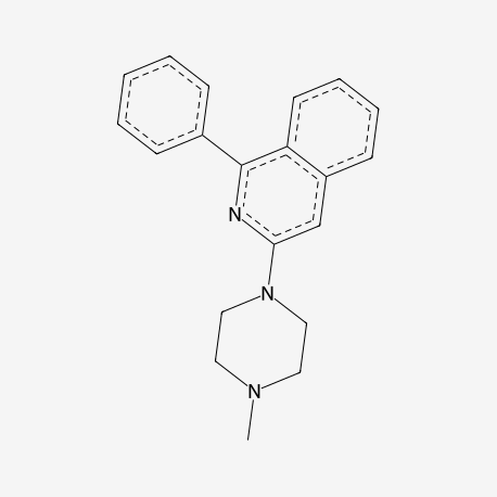 CN1CCN(c2cc3ccccc3c(-c3ccccc3)n2)CC1